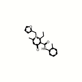 CCc1c(C(=O)Nc2ccccc2C)c(=O)cc(C)n1Cc1ccco1